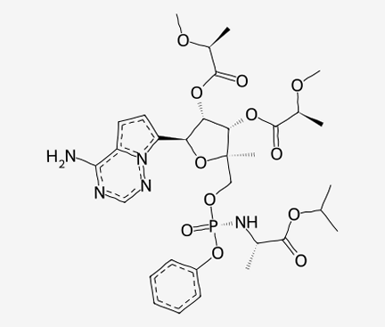 CO[C@@H](C)C(=O)O[C@H]1[C@H](c2ccc3c(N)ncnn23)O[C@](C)(CO[P@@](=O)(N[C@@H](C)C(=O)OC(C)C)Oc2ccccc2)[C@H]1OC(=O)[C@H](C)OC